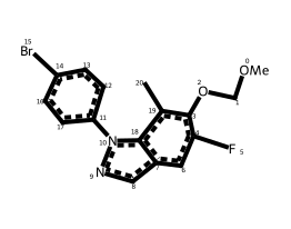 COCOc1c(F)cc2cnn(-c3ccc(Br)cc3)c2c1C